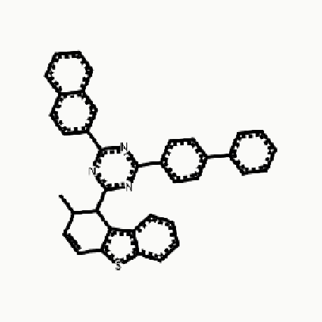 CC1C=Cc2sc3ccccc3c2C1c1nc(-c2ccc(-c3ccccc3)cc2)nc(-c2ccc3ccccc3c2)n1